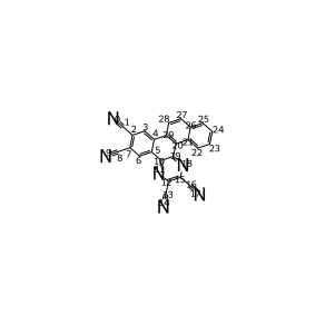 N#Cc1cc2c(cc1C#N)c1nc(C#N)c(C#N)nc1c1c3ccccc3ccc21